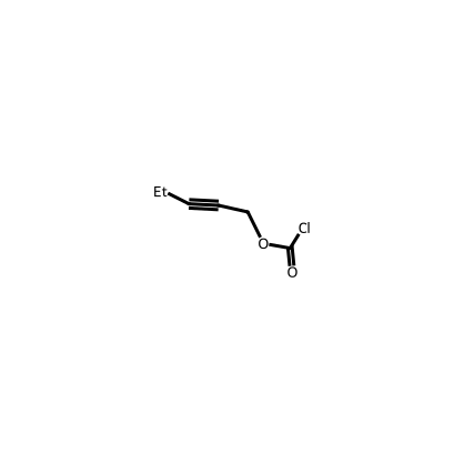 CCC#CCOC(=O)Cl